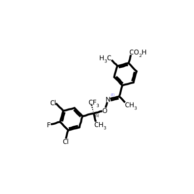 C/C(=N\O[C@@](C)(c1cc(Cl)c(F)c(Cl)c1)C(F)(F)F)c1ccc(C(=O)O)c(C)c1